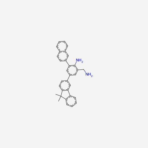 CC1(C)c2ccccc2-c2cc(-c3cc(CN)c(N)c(-c4ccc5ccccc5c4)c3)ccc21